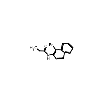 CCC(=O)Nc1ccc2ccccc2c1Br